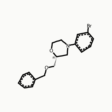 Brc1cccc(N2CCO[C@@H](COCc3ccccc3)C2)c1